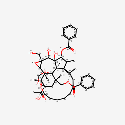 CC(=O)[C@@]12C[C@@H](COC(=O)c3ccccc3)[C@]3(OCO1)[C@@H]1[C@H]4C(C)CCCCCC[C@H](O)O[C@@H]2[C@@H]3C2O[C@]2(CO)[C@@H](O)[C@]1(O)[C@@H](OC(=O)c1ccccc1)C4C